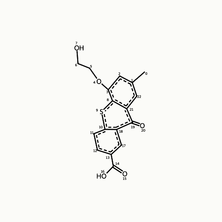 Cc1cc(OCCO)c2sc3ccc(C(=O)O)cc3c(=O)c2c1